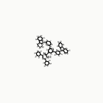 C1=Cc2c(n(-c3cccc(-c4cc(C5=NC(c6ccccc6)=NC(c6ccccc6)N5)cc(-c5cccc(-n6c7ccccc7c7ccccc76)n5)n4)n3)c3ccccc23)CC1